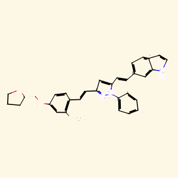 COc1cc(OC[C@@H]2CCCO2)ccc1/C=C/c1cc(/C=C/c2ccc3cc[nH]c3c2)n(-c2ccccc2)n1